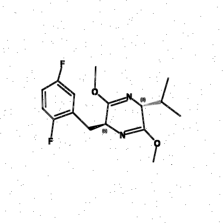 COC1=N[C@H](C(C)C)C(OC)=N[C@H]1Cc1cc(F)ccc1F